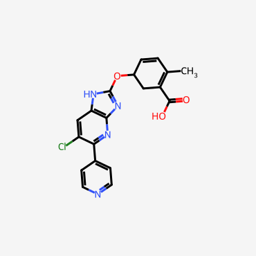 CC1=C(C(=O)O)CC(Oc2nc3nc(-c4ccncc4)c(Cl)cc3[nH]2)C=C1